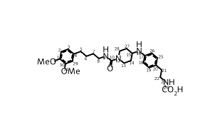 COc1ccc(CCCCNC(=O)N2CCC(Nc3ccc(CCNC(=O)O)cc3)CC2)cc1OC